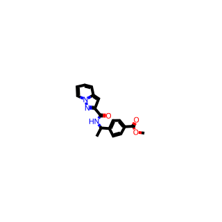 COC(=O)c1ccc(C(C)NC(=O)c2cc3ccccn3n2)cc1